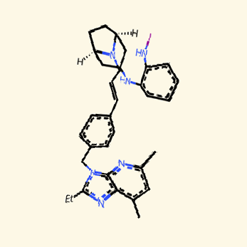 CCc1nc2c(C)cc(C)nc2n1Cc1ccc(/C=C/CN2[C@@H]3CC[C@H]2CC(Nc2ccccc2NI)C3)cc1